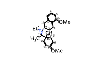 CCN([C@H]1CCc2c(cccc2OC)C1)[C@H](C)C1(C)C=CC(OC)=CC1